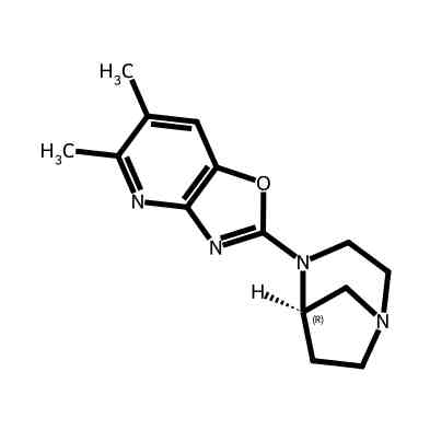 Cc1cc2oc(N3CCN4CC[C@@H]3C4)nc2nc1C